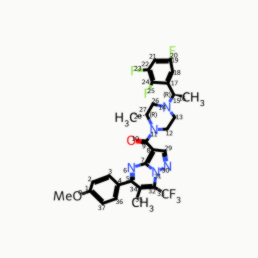 COc1ccc(-c2nc3c(C(=O)N4CCN([C@H](C)c5cc(F)cc(F)c5F)C[C@H]4C)cnn3c(C(F)(F)F)c2C)cc1